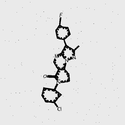 Cc1nn2c(ncc3c(=O)n(-c4cccc(Cl)c4)ccc32)c1-c1ccc(F)cc1